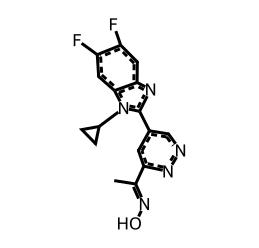 CC(=NO)c1cc(-c2nc3cc(F)c(F)cc3n2C2CC2)cnn1